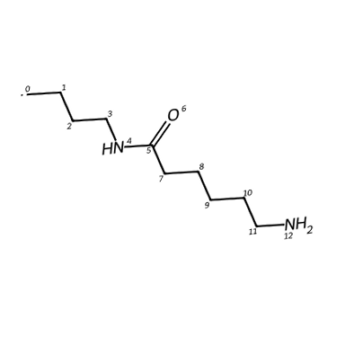 [CH2]CCCNC(=O)CCCCCN